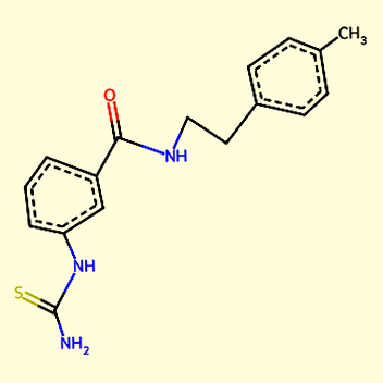 Cc1ccc(CCNC(=O)c2cccc(NC(N)=S)c2)cc1